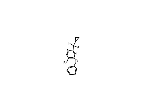 FC(F)(c1ncc(Br)c(Oc2ccccc2)n1)C1CC1